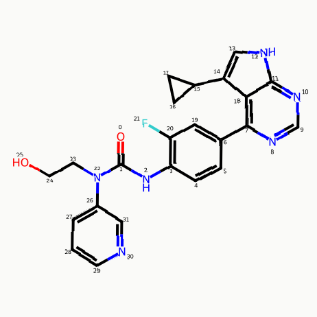 O=C(Nc1ccc(-c2ncnc3[nH]cc(C4CC4)c23)cc1F)N(CCO)c1cccnc1